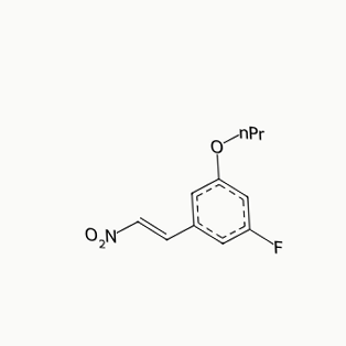 CCCOc1cc(F)cc(C=C[N+](=O)[O-])c1